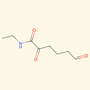 CCNC(=O)C(=O)CCCC=O